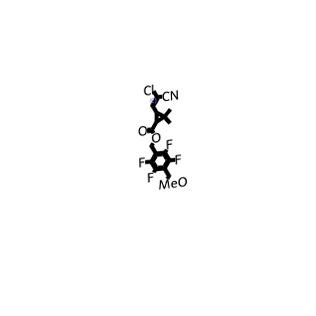 COCc1c(F)c(F)c(COC(=O)C2C(/C=C(/Cl)C#N)C2(C)C)c(F)c1F